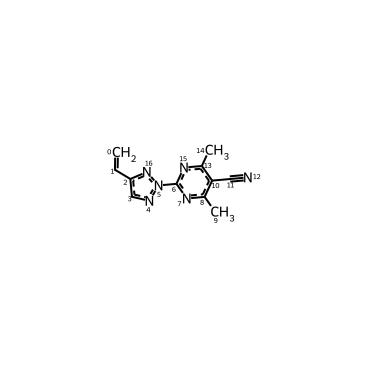 C=Cc1cnn(-c2nc(C)c(C#N)c(C)n2)n1